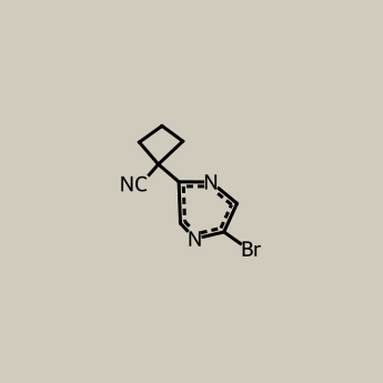 N#CC1(c2cnc(Br)cn2)CCC1